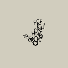 CC(C(=O)NCC(F)(F)C(F)(F)F)C(=O)N[C@H]1CN(C(=O)C(C)(C)C)c2ccccc2N(C)C1=O